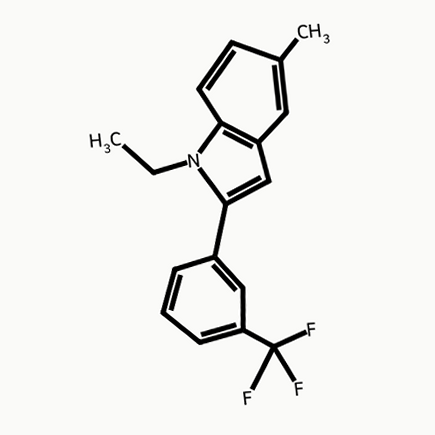 CCn1c(-c2cccc(C(F)(F)F)c2)cc2cc(C)ccc21